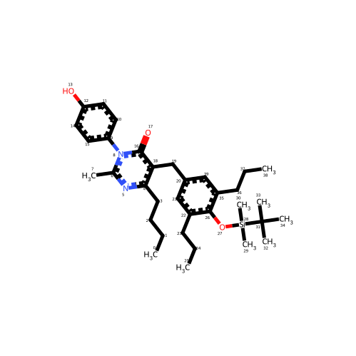 CCCCc1nc(C)n(-c2ccc(O)cc2)c(=O)c1Cc1cc(CCC)c(O[Si](C)(C)C(C)(C)C)c(CCC)c1